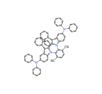 N#Cc1ccc(C#N)c(-n2c3ccc(N(c4ccccc4)c4ccccc4)cc3c3c4ccccc4ccc32)c1-n1c2ccc(N(c3ccccc3)c3ccccc3)cc2c2c3ccccc3ccc21